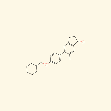 Cc1cc2c(cc1-c1ccc(OCC3CCCCC3)cc1)CCC2=O